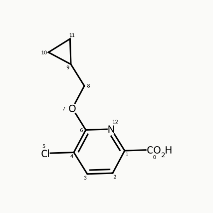 O=C(O)c1ccc(Cl)c(OCC2CC2)n1